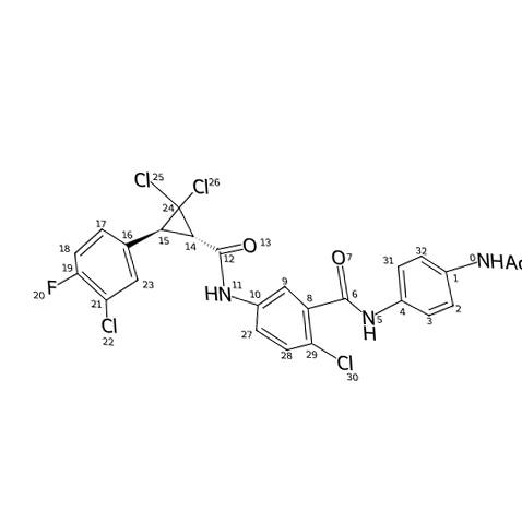 CC(=O)Nc1ccc(NC(=O)c2cc(NC(=O)[C@@H]3[C@@H](c4ccc(F)c(Cl)c4)C3(Cl)Cl)ccc2Cl)cc1